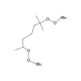 CC(CCCC(C)(C)OOC(C)(C)C)OOC(C)(C)C